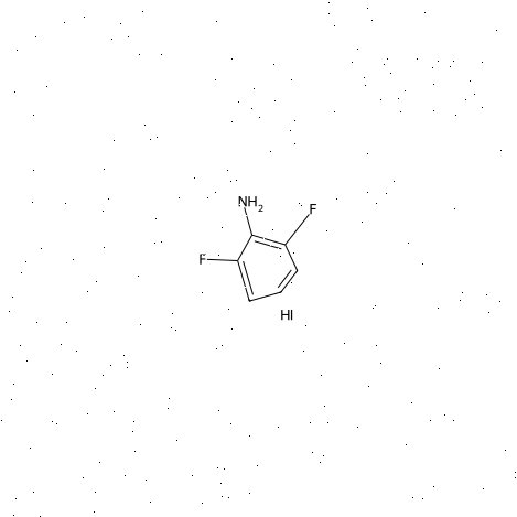 I.Nc1c(F)cccc1F